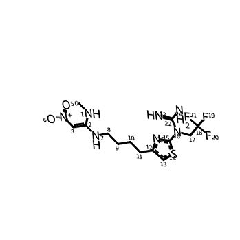 CNC(=C[N+](=O)[O-])NCCCCc1csc(N(CC(F)(F)F)C(=N)N)n1